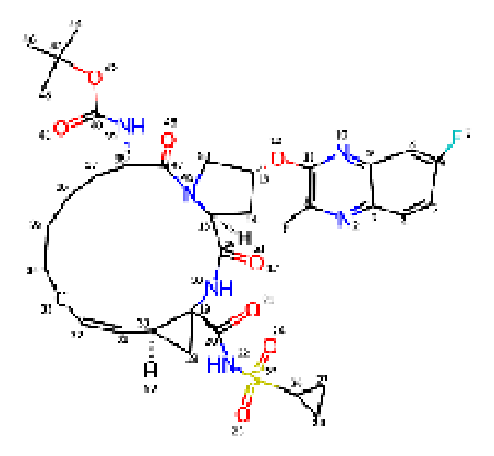 Cc1nc2ccc(F)cc2nc1O[C@@H]1C[C@H]2C(=O)N[C@]3(C(=O)NS(=O)(=O)C4CC4)C[C@H]3/C=C\CCCCC[C@H](NC(=O)OC(C)(C)C)C(=O)N2C1